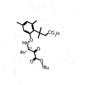 Cc1cc(C)c(C(C)(C)CC(=O)O)c(ON[C@H](C(=O)C(=O)OC(C)(C)C)C(C)C)c1